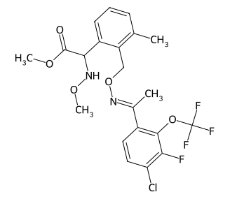 CONC(C(=O)OC)c1cccc(C)c1CO/N=C(\C)c1ccc(Cl)c(F)c1OC(F)(F)F